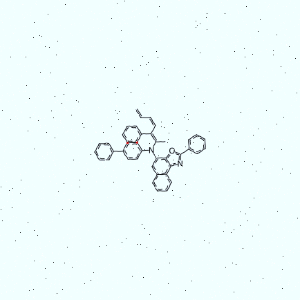 C=C/C=C\C(=C(/C)N(c1ccc(-c2ccccc2)cc1)c1cc2ccccc2c2nc(-c3ccccc3)oc12)c1ccccc1